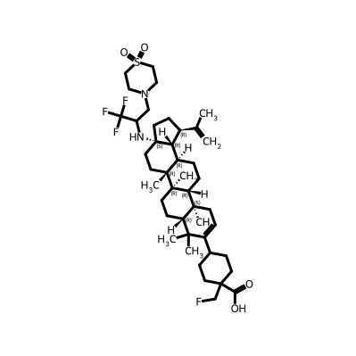 C=C(C)[C@@H]1CC[C@]2(NC(CN3CCS(=O)(=O)CC3)C(F)(F)F)CC[C@]3(C)[C@H](CC[C@@H]4[C@@]5(C)CC=C(C6CCC(CF)(C(=O)O)CC6)C(C)(C)[C@@H]5CC[C@]43C)[C@@H]12